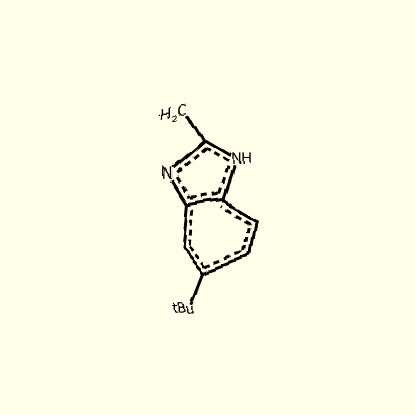 [CH2]c1nc2cc(C(C)(C)C)ccc2[nH]1